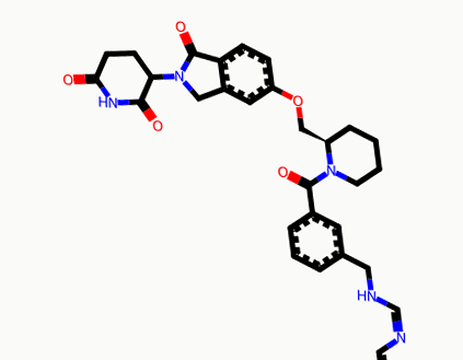 N=C/N=C\NCc1cccc(C(=O)N2CCCC[C@@H]2COc2ccc3c(c2)CN(C2CCC(=O)NC2=O)C3=O)c1